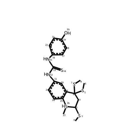 CSC1CC(SC)(SC)c2cc(NC(=S)Nc3ccc(O)cc3)ccc2[SH]1C